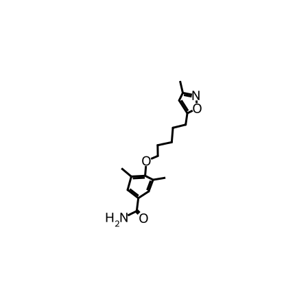 Cc1cc(CCCCCOc2c(C)cc(C(N)=O)cc2C)on1